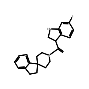 C=C(C1CNc2cc(Cl)ccc21)N1CCC2(CCc3ccccc32)CC1